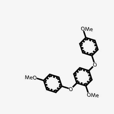 COc1ccc(Oc2ccc(Oc3ccc(OC)cc3)c(OC)c2)cc1